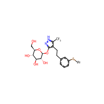 CC(C)Sc1cccc(CCc2c(O[C@@H]3O[C@H](CO)[C@@H](O)[C@H](O)[C@H]3O)n[nH]c2C(F)(F)F)c1